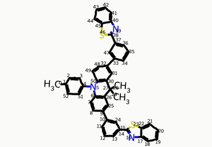 Cc1ccc(N2c3ccc(-c4cccc(-c5nc6ccccc6s5)c4)cc3C(C)(C)c3cc(-c4cccc(-c5nc6ccccc6s5)c4)ccc32)cc1